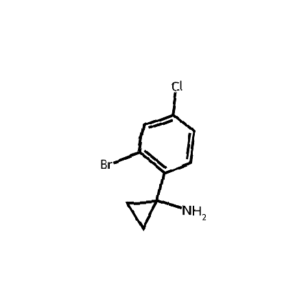 NC1(c2ccc(Cl)cc2Br)CC1